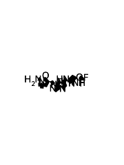 CC1(C)C[C@@H](Cn2ncc3ncc(Nc4cc(OC(F)F)[nH]n4)nc32)C(=O)N1N